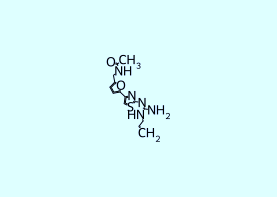 C=CCNC(N)=Nc1nc(-c2ccc(CNC(C)=O)o2)cs1